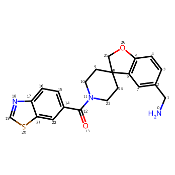 NCc1ccc2c(c1)C1(CCN(C(=O)c3ccc4ncsc4c3)CC1)CO2